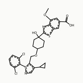 COc1cc(C(=O)O)cc2sc(C3(O)CCC(OCc4c(C5CC5)cnn4-c4c(Cl)cccc4Cl)CC3)nc12